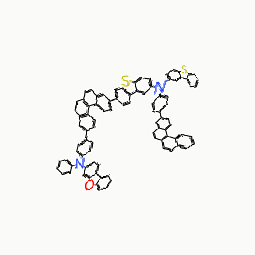 c1ccc(N(c2ccc(-c3ccc4c(ccc5ccc6cc(-c7ccc8c(c7)sc7ccc(N(c9ccc(-c%10ccc%11c(ccc%12ccc%13ccccc%13c%12%11)c%10)cc9)c9ccc%10sc%11ccccc%11c%10c9)cc78)ccc6c54)c3)cc2)c2ccc3c(c2)oc2ccccc23)cc1